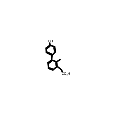 Cc1c(CC(=O)O)cccc1-c1ccc(O)cc1